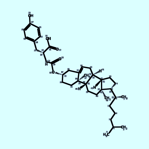 CC(C)CCC[C@@H](C)[C@H]1CC[C@H]2[C@@H]3CC=C4C[C@@H](OC(=O)N[C@H](Cc5ccc(O)cc5)C(=O)O)CC[C@]4(C)[C@H]3CC[C@]12C